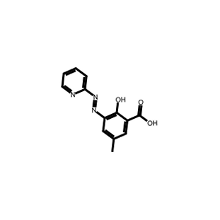 Cc1cc(/N=N/c2ccccn2)c(O)c(C(=O)O)c1